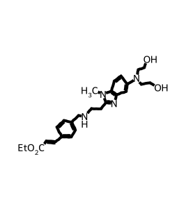 CCOC(=O)/C=C/c1ccc(CNCCc2nc3cc(N(CCO)CCO)ccc3n2C)cc1